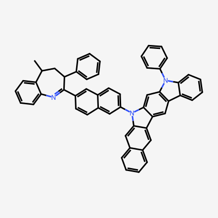 CC1CC(c2ccccc2)C(c2ccc3cc(-n4c5cc6ccccc6cc5c5cc6c7ccccc7n(-c7ccccc7)c6cc54)ccc3c2)=Nc2ccccc21